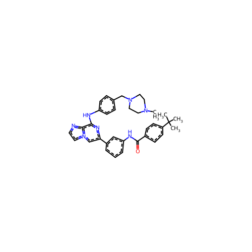 CN1CCN(Cc2ccc(Nc3nc(-c4cccc(NC(=O)c5ccc(C(C)(C)C)cc5)c4)cn4ccnc34)cc2)CC1